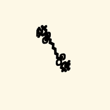 CN1C(C)(C)CC(OC(=O)CCCCCCCCC(=O)OC2CC(C)(C)N(C)C(C)(I)C2)CC1(C)C